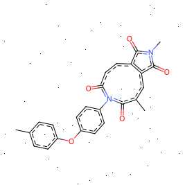 Cc1ccc(Oc2ccc(-n3c(=O)ccc4c(=O)n(C)c(=O)c=4cc(C)c3=O)cc2)cc1